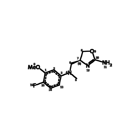 COc1cc(N(C)C[C@H]2COC(N)=N2)ccc1F